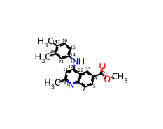 COC(=O)c1ccc2nc(C)cc(Nc3ccc(C)c(C)c3)c2c1